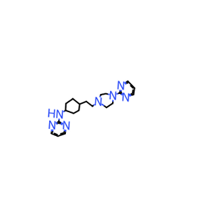 c1cnc(NC2CCC(CCN3CCN(c4ncccn4)CC3)CC2)nc1